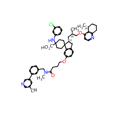 C[C@@H](COc1ccnc2c1[C@H](C)CCC2)C[C@H]1Cc2ccc(OCCCC(=O)N(C)Cc3cccc(-c4cncc(C#N)c4)c3)cc2C12CCC(Nc1cccc(Cl)c1)(C(=O)O)CC2